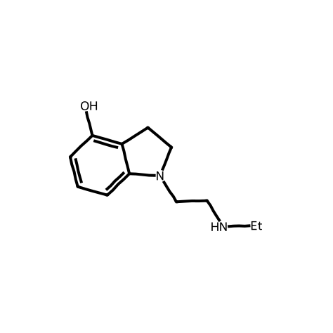 CCNCCN1CCc2c(O)cccc21